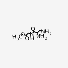 COC(=O)CNC(=O)[C@@H](N)CN